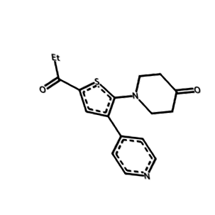 CCC(=O)c1cc(-c2ccncc2)c(N2CCC(=O)CC2)s1